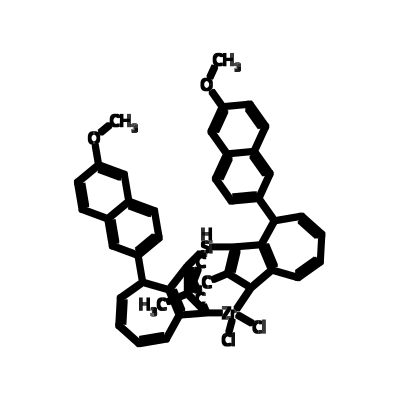 COc1ccc2cc(C3C=CC=CC4=C3C3=C(C)[CH]4[Zr]([Cl])([Cl])[C]45CCC[SiH]3C(=C4C)C3=C5C=CC=CC3c3ccc4cc(OC)ccc4c3)ccc2c1